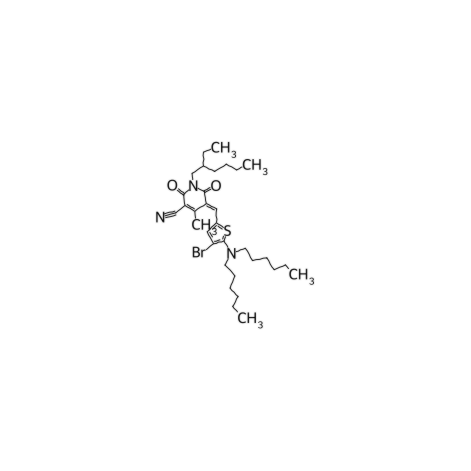 CCCCCCN(CCCCCC)c1sc(/C=C2/C(=O)N(CC(CC)CCCC)C(=O)C(C#N)=C2C)cc1Br